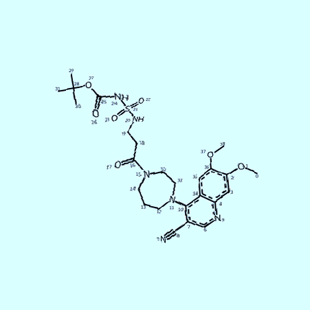 COc1cc2ncc(C#N)c(N3CCCN(C(=O)CCNS(=O)(=O)NC(=O)OC(C)(C)C)CC3)c2cc1OC